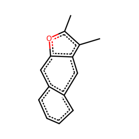 Cc1oc2cc3ccccc3cc2c1C